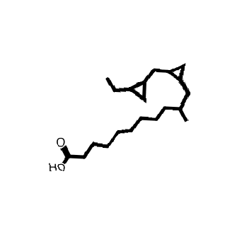 CCC1CC1CC1CC1CC(C)CCCCCCCCC(=O)O